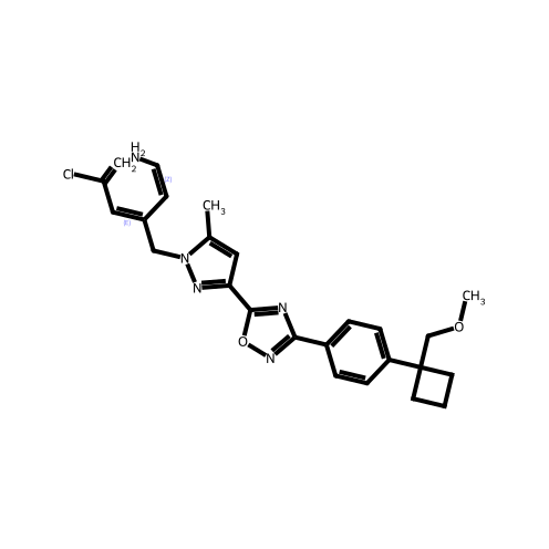 C=C(Cl)/C=C(\C=C/N)Cn1nc(-c2nc(-c3ccc(C4(COC)CCC4)cc3)no2)cc1C